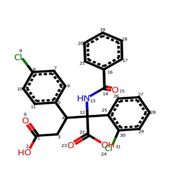 O=C(O)CC(c1ccc(Cl)cc1)C(NC(=O)c1ccccc1)(C(=O)O)c1ccccc1Cl